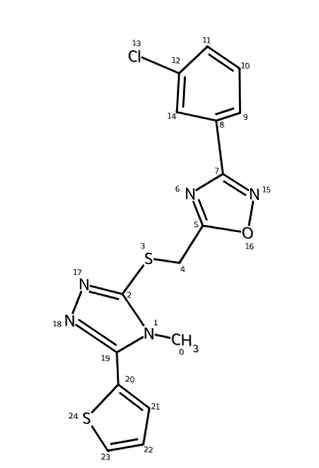 Cn1c(SCc2nc(-c3cccc(Cl)c3)no2)nnc1-c1cccs1